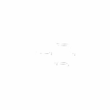 CC(C)N1C=C=NN=N1